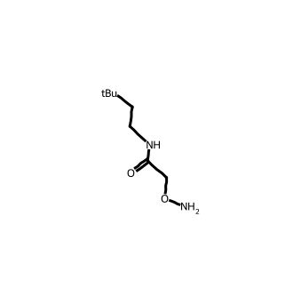 CC(C)(C)CCNC(=O)CON